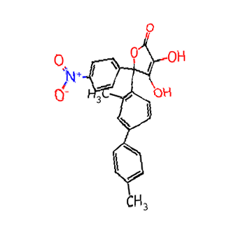 Cc1ccc(-c2ccc(C3(c4ccc([N+](=O)[O-])cc4)OC(=O)C(O)=C3O)c(C)c2)cc1